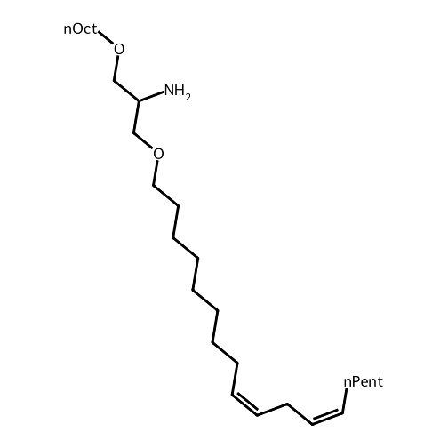 CCCCC/C=C\C/C=C\CCCCCCCCOCC(N)COCCCCCCCC